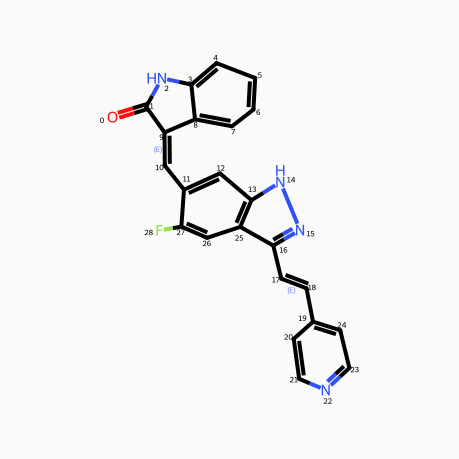 O=C1Nc2ccccc2/C1=C\c1cc2[nH]nc(/C=C/c3ccncc3)c2cc1F